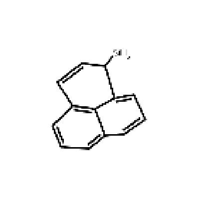 [SiH3]C1C=Cc2cccc3cccc1c23